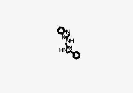 c1ccc(C2CNC(CNc3cnc4ccccc4n3)=N2)cc1